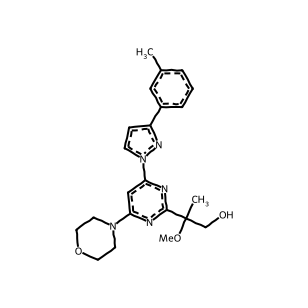 COC(C)(CO)c1nc(N2CCOCC2)cc(-n2ccc(-c3cccc(C)c3)n2)n1